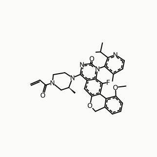 C=CC(=O)N1CCN(c2nc(=O)n(-c3c(C)ccnc3C(C)C)c3c(F)c4c(cc23)OCc2cccc(OC)c2-4)[C@@H](C)C1